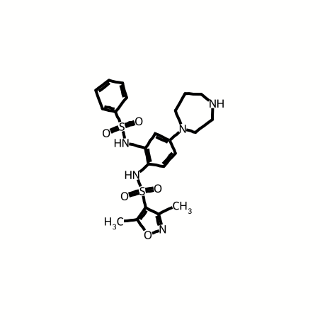 Cc1noc(C)c1S(=O)(=O)Nc1ccc(N2CCCNCC2)cc1NS(=O)(=O)c1ccccc1